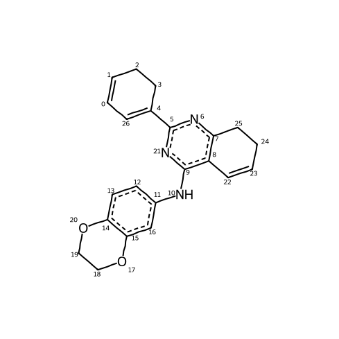 C1=CCCC(c2nc3c(c(Nc4ccc5c(c4)OCCO5)n2)C=CCC3)=C1